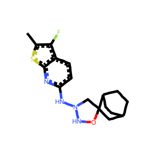 Cc1sc2nc(NN3CC4(CC5CCC4CC5)ON3)ccc2c1F